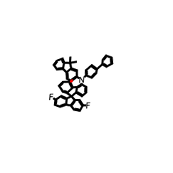 CC1(C)c2ccccc2-c2ccc(N(c3ccc(-c4ccccc4)cc3)c3cccc4c3-c3ccccc3C43c4cc(F)ccc4-c4ccc(F)cc43)cc21